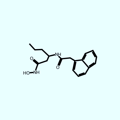 CCCC(CC(=O)NO)NC(=O)Cc1cccc2ccccc12